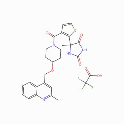 Cc1cc(COC2CCN(C(=O)c3ccsc3C3(C)NC(=O)NC3=O)CC2)c2ccccc2n1.O=C(O)C(F)(F)F